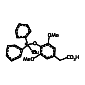 COc1cc(CC(=O)O)cc(OC)c1O[Si](c1ccccc1)(c1ccccc1)C(C)(C)C